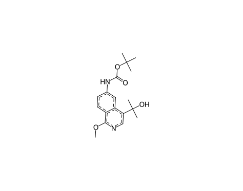 COc1ncc(C(C)(C)O)c2cc(NC(=O)OC(C)(C)C)ccc12